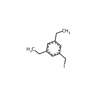 CCc1cc(CC)cc(CI)c1